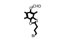 Cc1c(C)c2c(c(C)c1OC=O)SC(CCCBr)O2